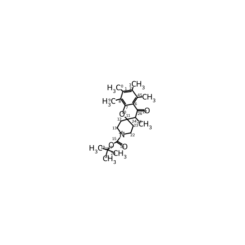 Cc1c(C)c(C)c2c(c1C)OC1(CCN(C(=O)OC(C)(C)C)CC1)C(C)C2=O